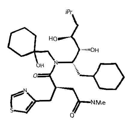 CNC(=O)C[C@@H](Cc1cscn1)C(=O)N(CC1(O)CCCCC1)[C@@H](CC1CCCCC1)[C@@H](O)[C@@H](O)CC(C)C